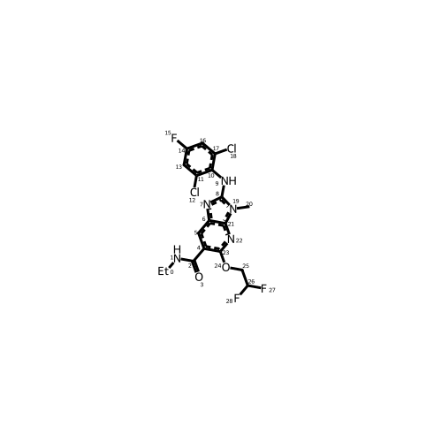 CCNC(=O)c1cc2nc(Nc3c(Cl)cc(F)cc3Cl)n(C)c2nc1OCC(F)F